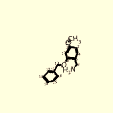 COc1ccc(CN)c(OCc2ccccc2)c1